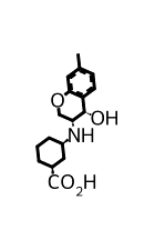 Cc1ccc2c(c1)OC[C@@H](N[C@@H]1CCC[C@H](C(=O)O)C1)[C@H]2O